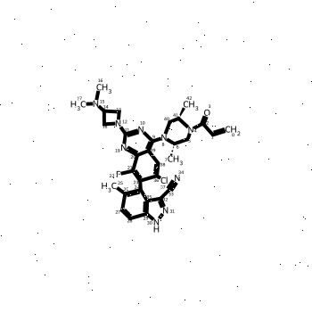 C=CC(=O)N1C[C@H](C)N(c2nc(N3CC(N(C)C)C3)nc3c(F)c(-c4c(C)ccc5[nH]nc(C#N)c45)c(Cl)cc23)C[C@H]1C